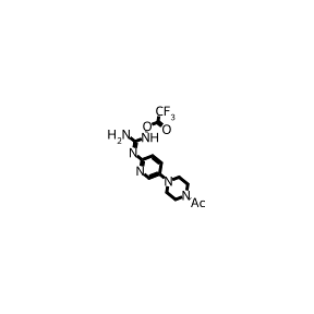 CC(=O)N1CCN(c2ccc(N=C(N)NOC(=O)C(F)(F)F)nc2)CC1